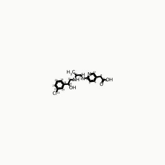 CC(CNc1ccc(CC(=O)O)cn1)NCC(O)c1cccc(Cl)c1